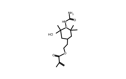 C=C(C)C(=O)OCCC1CC(C)(C)N(NC(N)=O)C(C)(C)C1.Cl